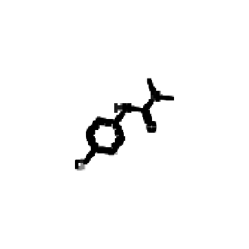 CN(C)C(=O)Nc1c[c]c(Cl)cc1